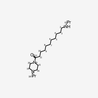 CC(C)NCCCCCCCCCCC(=O)N1CCN(C(C)C)CC1